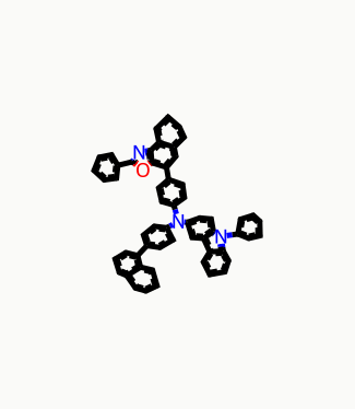 c1ccc(-c2nc3c(o2)c(-c2ccc(N(c4ccc(-c5cccc6ccccc56)cc4)c4ccc5c(c4)c4ccccc4n5-c4ccccc4)cc2)cc2ccccc23)cc1